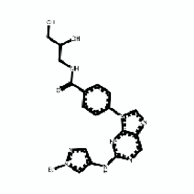 CCn1cc(Nc2ncc3ncn(-c4ccc(C(=O)NCC(O)CO)cc4)c3n2)cn1